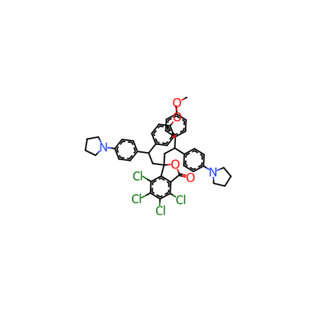 COc1ccc(C(CC2(CC(c3ccc(OC)cc3)c3ccc(N4CCCC4)cc3)OC(=O)c3c(Cl)c(Cl)c(Cl)c(Cl)c32)c2ccc(N3CCCC3)cc2)cc1